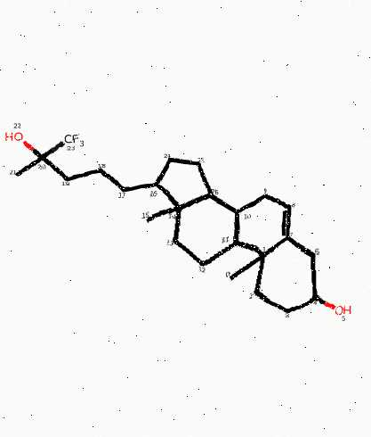 CC12CCC(O)CC1=CCC1C2CCC2(C)C(CCCC(C)(O)C(F)(F)F)CCC12